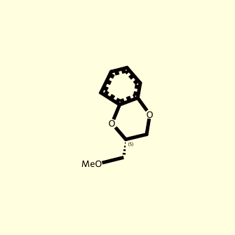 COC[C@H]1COc2ccccc2O1